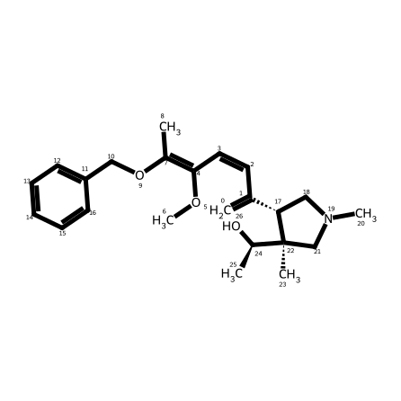 C=C(/C=C\C(OC)=C(/C)OCc1ccccc1)[C@@H]1CN(C)C[C@@]1(C)[C@@H](C)O